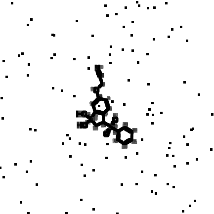 N#CCOc1ccc2c(c1)S(O)(O)CC2S(=O)(=O)c1ccccc1